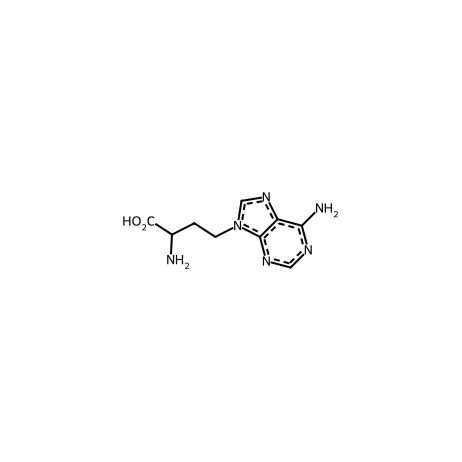 Nc1ncnc2c1ncn2CCC(N)C(=O)O